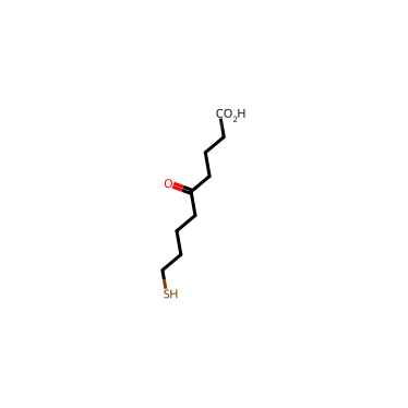 O=C(O)CCCC(=O)CCCCS